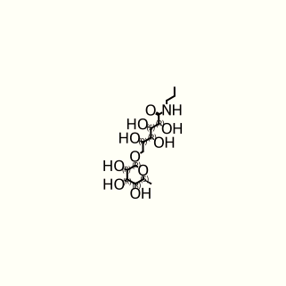 CCCNC(=O)[C@H](O)[C@@H](O)[C@H](O)[C@H](O)CO[C@@H]1O[C@@H](C)[C@H](O)[C@@H](O)[C@H]1O